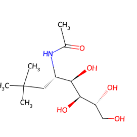 CC(=O)N[C@@H](CC(C)(C)C)[C@@H](O)[C@H](O)[C@H](O)CO